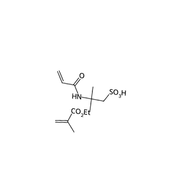 C=C(C)C(=O)OCC.C=CC(=O)NC(C)(C)CS(=O)(=O)O